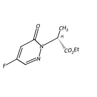 CCOC(=O)[C@@H](C)n1ncc(F)cc1=O